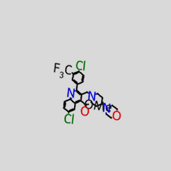 COC(=O)c1c(CN2CCC(N3CCOCC3)CC2)c(-c2ccc(Cl)c(C(F)(F)F)c2)nc2ccc(Cl)cc12